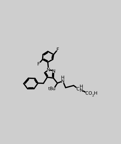 CC(C)(C)C(NCCCNC(=O)O)c1nn(-c2cc(F)ccc2F)cc1Cc1ccccc1